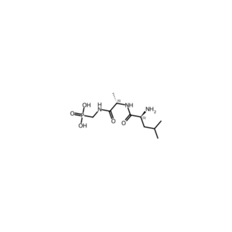 CC(C)C[C@H](N)C(=O)N[C@@H](C)C(=O)NCP(=O)(O)O